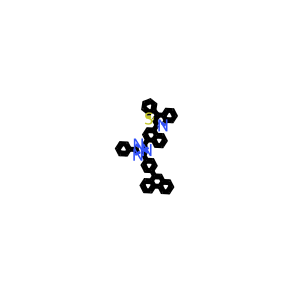 c1ccc(-c2nc(-c3ccc(-c4cc5ccccc5c5ccccc45)cc3)nc(-c3ccc(-c4nc5ccccc5c5c4sc4ccccc45)c4ccccc34)n2)cc1